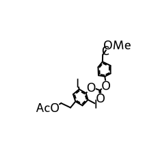 COCCc1ccc(OC(=O)Oc2c(I)cc(CCOC(C)=O)cc2I)cc1